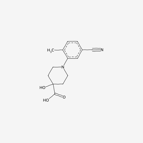 Cc1ccc(C#N)cc1N1CCC(O)(C(=O)O)CC1